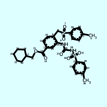 Cc1ccc(S(=O)(=O)Cc2ccc(C(=O)OCC3CCCCC3)cc2NC(=O)NS(=O)(=O)c2ccc(C)cc2)cc1